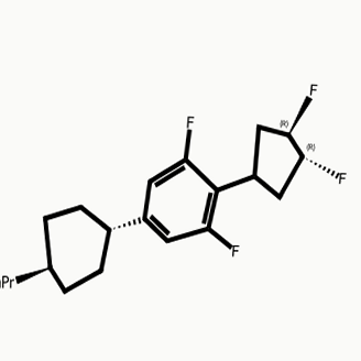 CCC[C@H]1CC[C@H](c2cc(F)c(C3C[C@@H](F)[C@H](F)C3)c(F)c2)CC1